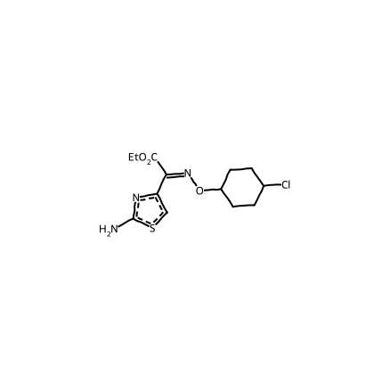 CCOC(=O)C(=NOC1CCC(Cl)CC1)c1csc(N)n1